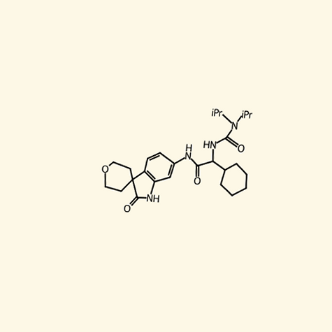 CC(C)N(C(=O)NC(C(=O)Nc1ccc2c(c1)NC(=O)C21CCOCC1)C1CCCCC1)C(C)C